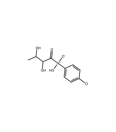 CC(O)C(O)C(=O)[N+]([O-])(O)c1ccc(Cl)cc1